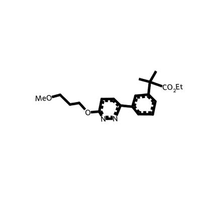 CCOC(=O)C(C)(C)c1cccc(-c2ccc(OCCCOC)nn2)c1